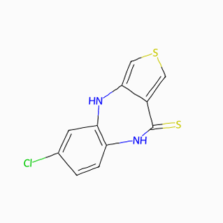 S=C1Nc2ccc(Cl)cc2Nc2cscc21